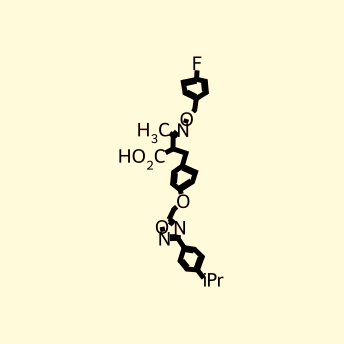 C/C(=N\OCc1ccc(F)cc1)C(Cc1ccc(OCc2nc(-c3ccc(C(C)C)cc3)no2)cc1)C(=O)O